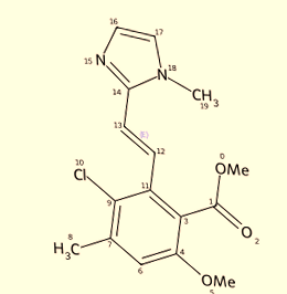 COC(=O)c1c(OC)cc(C)c(Cl)c1/C=C/c1nccn1C